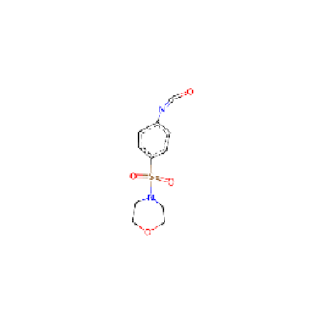 O=C=Nc1ccc(S(=O)(=O)N2CCOCC2)cc1